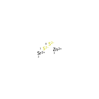 [S-2].[S-2].[Sr+2].[Zn+2]